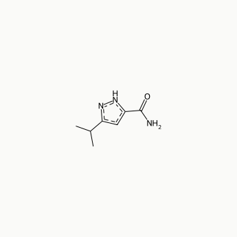 CC(C)c1cc(C(N)=O)[nH]n1